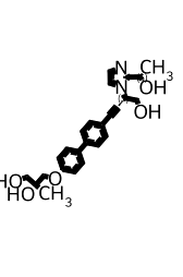 C[C@H](O)c1nccn1[C@@H](C#Cc1ccc(-c2ccc(OCC(C)(O)CO)cc2)cc1)CO